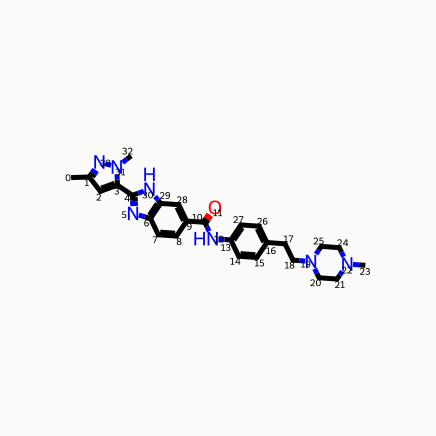 Cc1cc(-c2nc3ccc(C(=O)Nc4ccc(CCN5CCN(C)CC5)cc4)cc3[nH]2)n(C)n1